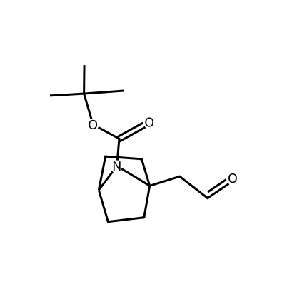 CC(C)(C)OC(=O)N1C2CCC1(CC=O)CC2